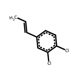 [CH2]/C=C/c1ccc(Cl)c(Cl)c1